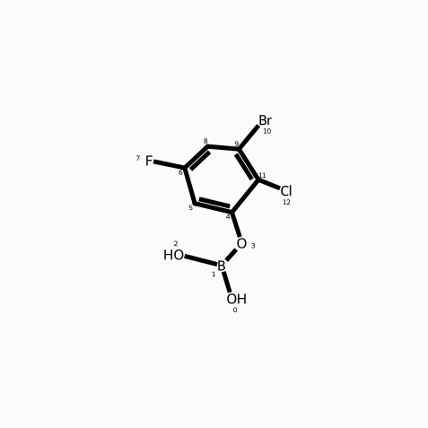 OB(O)Oc1cc(F)cc(Br)c1Cl